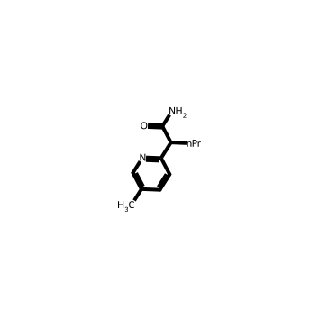 CCCC(C(N)=O)c1ccc(C)cn1